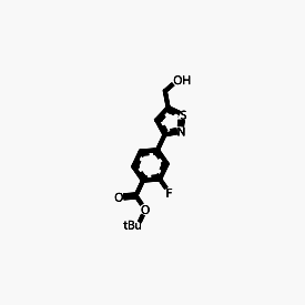 CC(C)(C)OC(=O)c1ccc(-c2cc(CO)sn2)cc1F